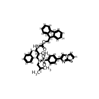 CC(C)CN(C[C@@H](O)[C@H](Cc1ccccc1)NC(=O)OCC1c2ccccc2-c2ccccc21)S(=O)(=O)c1ccc(-c2cn3ccsc3n2)cc1